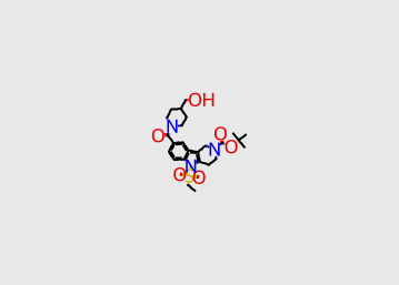 CCS(=O)(=O)n1c2c(c3cc(C(=O)N4CCC(CO)CC4)ccc31)CN(C(=O)OC(C)(C)C)CC2